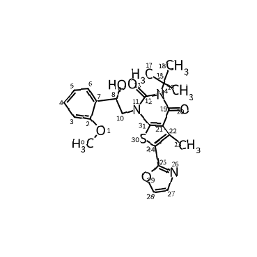 COc1ccccc1C(O)Cn1c(=O)n(C(C)(C)C)c(=O)c2c(C)c(-c3ncco3)sc21